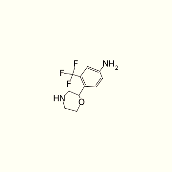 Nc1ccc(C2CNCCO2)c(C(F)(F)F)c1